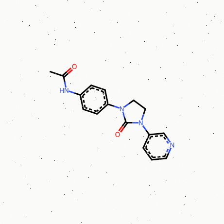 CC(=O)Nc1ccc(N2CCN(c3cccnc3)C2=O)cc1